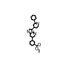 CCOC(=O)c1cccc(-c2cnn3c(-c4ccnc(-c5ccccc5)c4)cnc3c2)c1